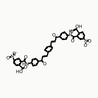 O=C(C=Cc1ccc(C=CC(=O)c2ccc(NC(=O)c3cc([N+](=O)[O-])ccc3C(=O)O)cc2)cc1)c1ccc(NC(=O)c2cc([N+](=O)[O-])ccc2C(=O)O)cc1